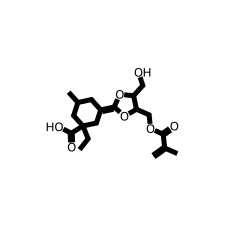 C=C(C)C(=O)OCC1O/C(=C2/CC(C)CC(CC)(C(=O)O)C2)OC1CO